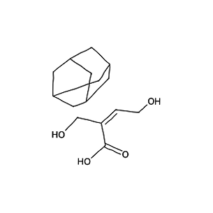 C1C2CC3CC1CC(C2)C3.O=C(O)C(=CCO)CO